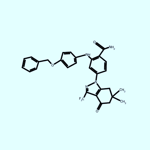 CC1(C)CC(=O)c2c(C(F)(F)F)nn(-c3ccc(C(N)=O)c(Nc4ccc(OCc5ccccc5)cc4)c3)c2C1